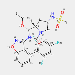 CCO[C@@H]1[C@@H]2C[C@H](NS(C)(=O)=O)CN2C(=O)N1c1noc2cccc(-c3c(F)cc(F)cc3F)c12